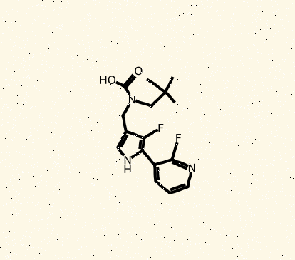 CC(C)(C)CN(Cc1c[nH]c(-c2cccnc2F)c1F)C(=O)O